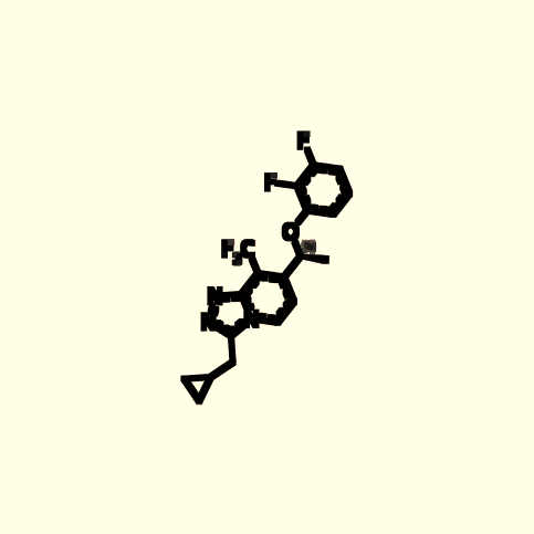 C[C@H](Oc1cccc(F)c1F)c1ccn2c(CC3CC3)nnc2c1C(F)(F)F